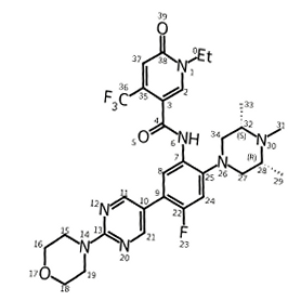 CCn1cc(C(=O)Nc2cc(-c3cnc(N4CCOCC4)nc3)c(F)cc2N2C[C@@H](C)N(C)[C@@H](C)C2)c(C(F)(F)F)cc1=O